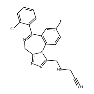 C#CCNCc1nnc2n1-c1ccc(F)cc1C(c1ccccc1Cl)=NC2